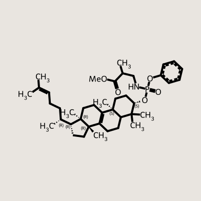 COC(=O)C(C)CNP(=O)(Oc1ccccc1)O[C@H]1CC[C@]2(C)C3=C(CCC2C1(C)C)[C@]1(C)CC[C@H]([C@H](C)CCC=C(C)C)[C@@]1(C)CC3